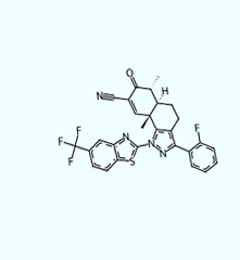 C[C@H]1C(=O)C(C#N)=C[C@@]2(C)c3c(c(-c4ccccc4F)nn3-c3nc4cc(C(F)(F)F)ccc4s3)CC[C@H]12